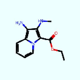 CCOC(=O)c1c(NC)c(N)c2ccccn12